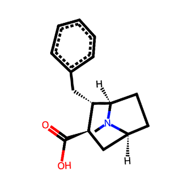 CN1[C@H]2CC[C@@H]1[C@@H](Cc1ccccc1)[C@H](C(=O)O)C2